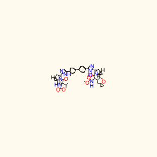 COC(=O)NC(C(=O)N1[C@@H]2C[C@@H]2C[C@H]1c1ncc(-c2ccc(-c3ccc(-c4cnc([C@@H]5C[C@H]6C[C@H]6N5C(=O)C(NC(=O)OC)C5CCOC6(CC6)C5)[nH]4)cc3)cc2)[nH]1)C(C)C